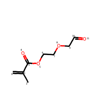 C=C(C)C(=O)OCCOCC=O